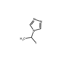 CC(I)n1cnnc1